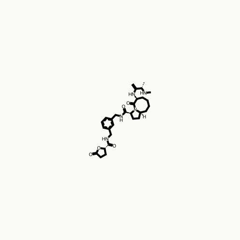 C=C(N[C@H]1CCCC[C@H]2CC[C@@H](C(=O)NCc3cccc(CNC(=O)[C@@H]4CCC(=O)O4)c3)N2C1=O)[C@H](C)NC